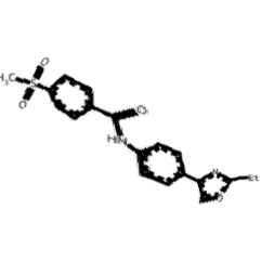 CCc1nc(-c2ccc(NC(=O)c3ccc(S(C)(=O)=O)cc3)cc2)cs1